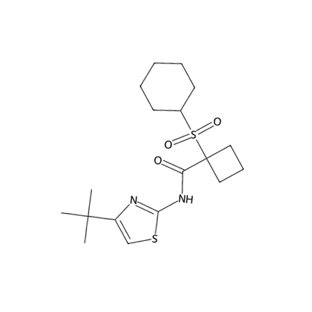 CC(C)(C)c1csc(NC(=O)C2(S(=O)(=O)C3CCCCC3)CCC2)n1